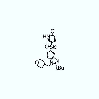 CC(C)(C)c1nc2cc(S(=O)(=O)c3ccc(=O)[nH]n3)ccc2n1CC1CCOCC1